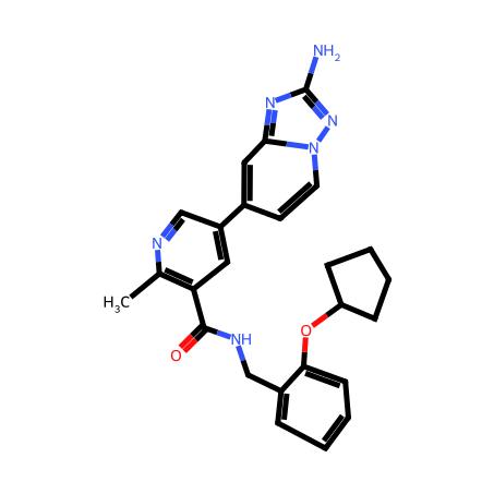 Cc1ncc(-c2ccn3nc(N)nc3c2)cc1C(=O)NCc1ccccc1OC1CCCC1